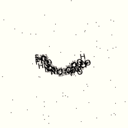 Cn1c(=O)n(C2CCC(=O)NC2=O)c2cccc(C3CCN(C[C@H]4CC[C@H](n5cc6cc(NC(=O)c7cccc(C(F)F)n7)ncc6n5)CC4)CC3(F)F)c21